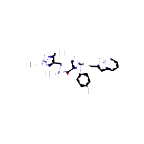 Cc1nn(C)cc1CN(C)C(=O)c1cnc(SCc2cc3ccccn3n2)n1-c1ccc(F)cc1